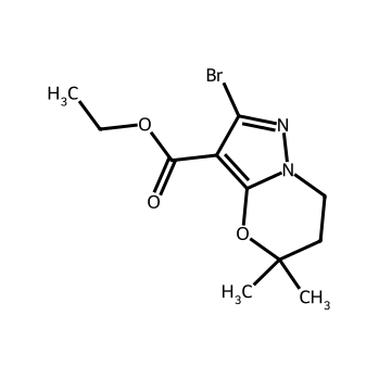 CCOC(=O)c1c(Br)nn2c1OC(C)(C)CC2